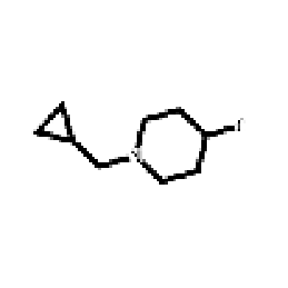 ClC1CCN(CC2CC2)CC1